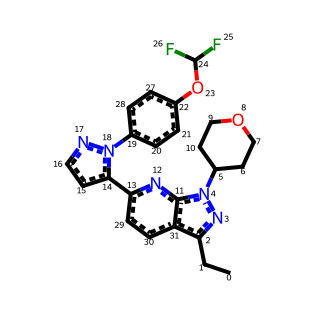 CCc1nn(C2CCOCC2)c2nc(-c3ccnn3-c3ccc(OC(F)F)cc3)ccc12